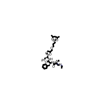 C=N/C(=C\N=C/C)C(=O)N[C@@H](Cc1ccccc1)C(=O)N[C@@H](CC(C)C)B1OCC(COCCC[Si]23OC(C)C(O2)C(C)O3)O1